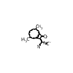 [C-]#[N+]/C(C#N)=C1\C(=O)c2cc(C)cccc(C)cc1c2